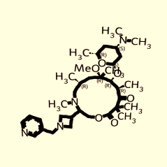 CO[C@]1(C)C[C@@H](C)CN(C)C(C2CN(Cc3cccnc3)C2)COC(=O)C(C)(C)C(=O)[C@H](C)[C@H]1O[C@H]1C[C@@H](N(C)C)C[C@@H](C)O1